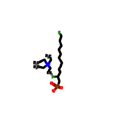 CC[N+](CC)(CC)CC.O=S(=O)([O-])CC(F)CCCCCCCCCF